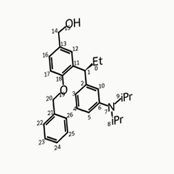 CC[C@@H](c1cccc(N(C(C)C)C(C)C)c1)c1cc(CO)ccc1OCc1ccccc1